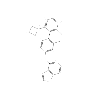 Cc1cc(Oc2nccc3occc23)ccc1-c1c(C)ncnc1N1CCC1